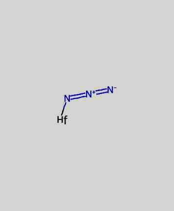 [N-]=[N+]=[N][Hf]